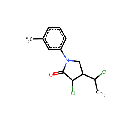 CC(Cl)C1CN(c2cccc(C(F)(F)F)c2)C(=O)C1Cl